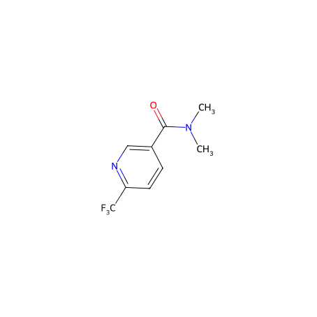 CN(C)C(=O)c1ccc(C(F)(F)F)nc1